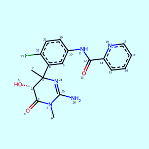 CN1C(=O)[C@H](O)C(C)(c2cc(NC(=O)c3ccccn3)ccc2F)N=C1N